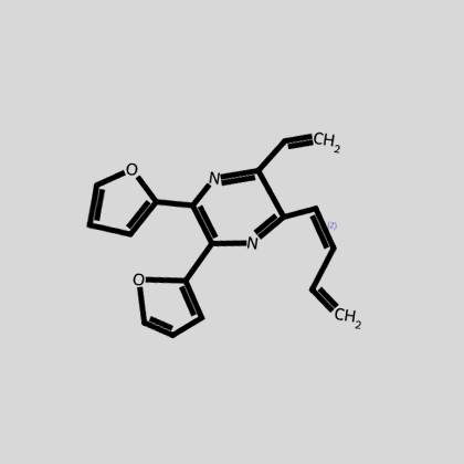 C=C/C=C\c1nc(-c2ccco2)c(-c2ccco2)nc1C=C